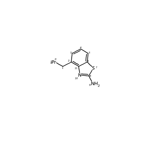 CC(C)Cc1c[c]cc2sc(N)nc12